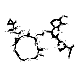 COc1ccc2c(OCC[C@@H]3NC(=O)N(C)CCCCC=C[C@@H]4C[C@@]4(C(=O)NS(=O)(=O)C4(C)CC4)NC3=O)cc(-c3nc(C(C)C)cs3)nc2c1F